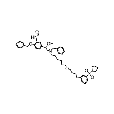 O=CNc1cc([C@@H](O)CN(CCCCCCOCCCCc2cccc(S(=O)(=O)C3CCCC3)c2)Cc2ccccc2)ccc1OCc1ccccc1